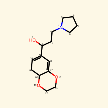 OC(CCN1CCCC1)C1=CCC2OCCOC2=C1